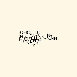 CC(C)(N)C(C)(C)C(C=O)CCC(=O)NCCc1c[nH]cn1